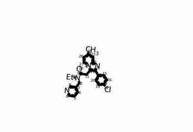 CCN(Cc1cccnc1)C(=O)Cc1c(-c2ccc(Cl)cc2)nc2cc(C)ccn12